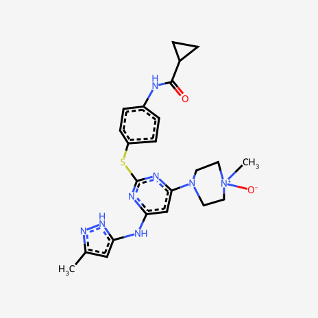 Cc1cc(Nc2cc(N3CC[N+](C)([O-])CC3)nc(Sc3ccc(NC(=O)C4CC4)cc3)n2)[nH]n1